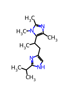 Cc1nc(C)n(C)c1C(C)Cc1c[nH]c(C(C)C)n1